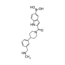 CNCc1cccc(C2CCN(C(=O)c3cc4cc(B(O)O)ccc4[nH]3)CC2)c1